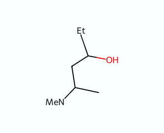 CCC(O)CC(C)NC